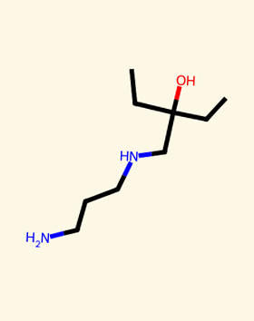 CCC(O)(CC)CNCCCN